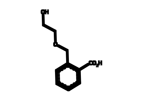 O=C(O)c1ccccc1COCCO